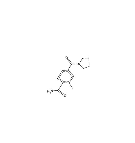 NC(=O)c1ccc(C(=O)N2CCCC2)cc1F